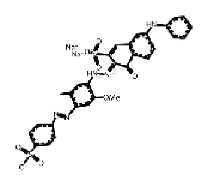 COc1cc(N=Nc2ccc(S(=O)(=O)[O-])cc2)c(C)cc1N/N=C1/C(=O)c2ccc(Nc3ccccc3)cc2C=C1S(=O)(=O)[O-].[Na+].[Na+]